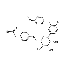 CCOc1ccc(Cc2cc([C@@H]3O[C@H](CSc4ccc(NC(=O)CC)cc4)[C@H](O)[C@@H](O)[C@H]3O)ccc2Cl)cc1